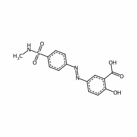 CNS(=O)(=O)c1ccc(N=Nc2ccc(O)c(C(=O)O)c2)cc1